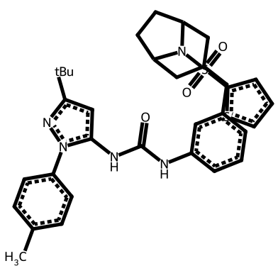 Cc1ccc(-n2nc(C(C)(C)C)cc2NC(=O)Nc2cccc(CC3CC4CCC(C3)N4S(=O)(=O)c3cccs3)c2)cc1